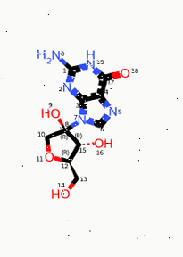 Nc1nc2c(ncn2[C@@]2(O)CO[C@H](CO)[C@H]2O)c(=O)[nH]1